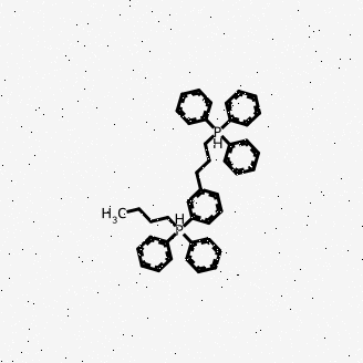 CCCC[PH](c1ccccc1)(c1ccccc1)c1cccc(CCC[PH](c2ccccc2)(c2ccccc2)c2ccccc2)c1